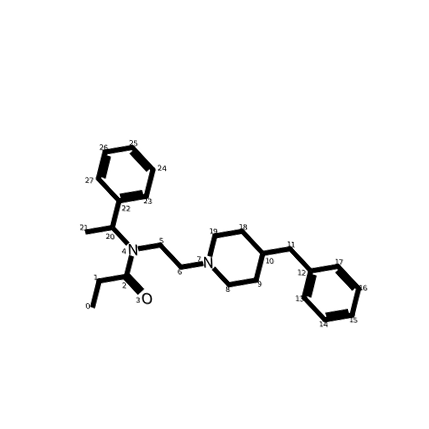 CCC(=O)N(CCN1CCC(Cc2ccccc2)CC1)C(C)c1ccccc1